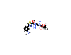 CN(C)c1cccc(-c2csc(C(=O)NCCNC(=O)OC(C)(C)C)n2)c1